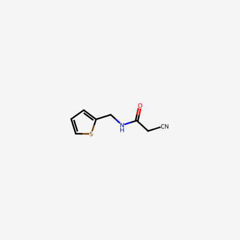 N#CCC(=O)NCc1cccs1